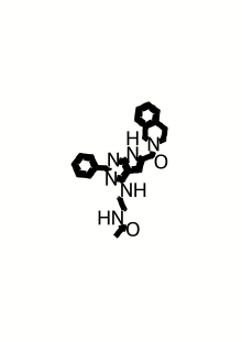 CC(=O)NCCNc1nc(-c2ccccc2)nc2[nH]c(C(=O)N3CCc4ccccc4C3)cc12